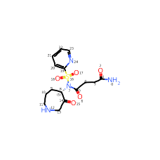 NC(=O)CCC(=O)N([C@H]1CCCNCC1=O)S(=O)(=O)c1ccccn1